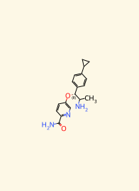 CC(N)[C@H](Oc1ccc(C(N)=O)nc1)c1ccc(C2CC2)cc1